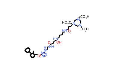 Cc1c(COc2ncnc(NCCNC(=O)CCC(O)NCCCCCNC(=O)CCC(C(=O)O)N3CCN(CC(=O)O)CCN(CC(=O)O)CC3)n2)cccc1-c1ccccc1